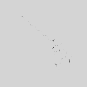 CCCCCCCCCCCC(=O)[N+]1=CN(C)C(Cl)(C[C@H]2COC(=O)[C@H]2CCC(C)=O)C1Cl